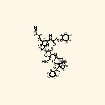 C[Si](C[C@@H]1O[P@@](OC2[C@@H](CO)O[C@@H](n3cnc4c(OCCC#N)nc(NC(=O)COc5ccccc5)nc43)[C@H]2F)N2CCC[C@H]12)(c1ccccc1)c1ccccc1